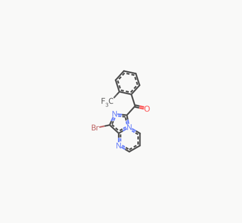 O=C(c1ccccc1C(F)(F)F)c1nc(Br)c2ncccn12